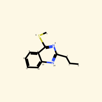 CCCc1nc(SC)c2ccccc2n1